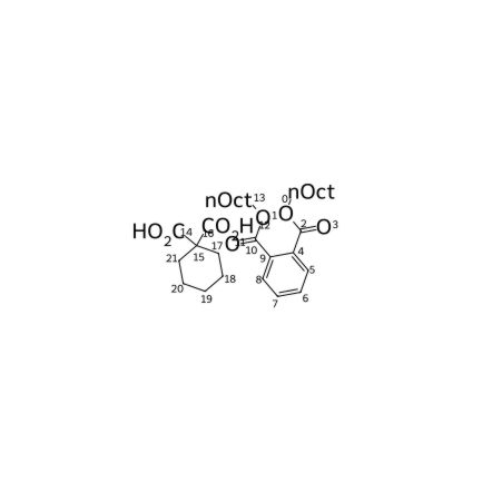 CCCCCCCCOC(=O)c1ccccc1C(=O)OCCCCCCCC.O=C(O)C1(C(=O)O)CCCCC1